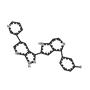 Fc1cccc(-c2nccc3[nH]c(-c4n[nH]c5ncc(-c6cccnc6)cc45)cc23)c1